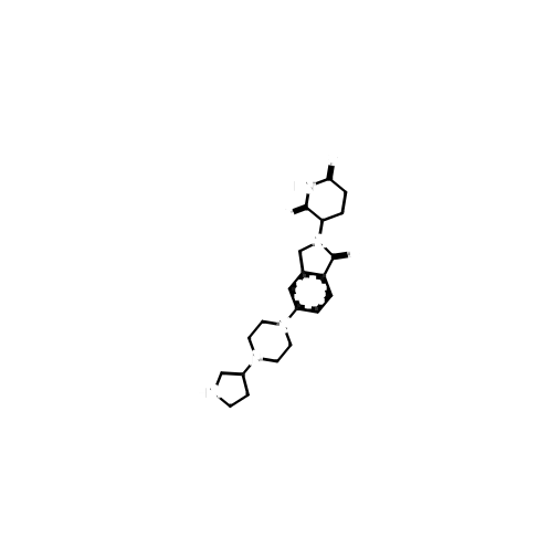 O=C1CCC(N2Cc3cc(N4CCN(C5CCNC5)CC4)ccc3C2=O)C(=O)N1